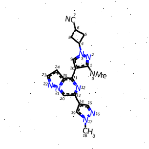 CNc1nn(C2CC(C#N)C2)cc1-c1nc(-c2cnn(C)c2)cn2nccc12